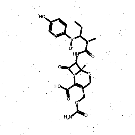 CCC(C(C)C(=O)NC1C(=O)N2C(C(=O)O)=C(COC(N)=O)CS[C@@H]12)[S+]([O-])c1ccc(O)cc1